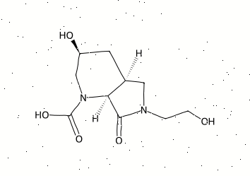 O=C1[C@@H]2[C@@H](C[C@H](O)CN2C(=O)O)CN1CCO